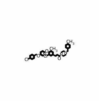 Cc1ccc(CN2CCN(C(=O)/C=C/c3cc(C)c(Oc4ccc(OCc5ccc(Cl)cc5)cn4)c(Cl)c3)CC2)cc1